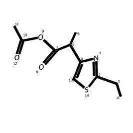 CCc1nc(C(C)C(=O)OC(C)=O)cs1